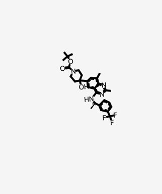 Cc1nc(N[C@H](C)c2cccc(C(F)(F)F)c2)c2cc(C3(O)CCN(C(=O)OC(C)(C)C)CC3)cc(C)c2n1